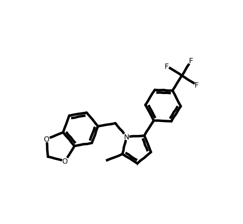 Cc1[c]cc(-c2ccc(C(F)(F)F)cc2)n1Cc1ccc2c(c1)OCO2